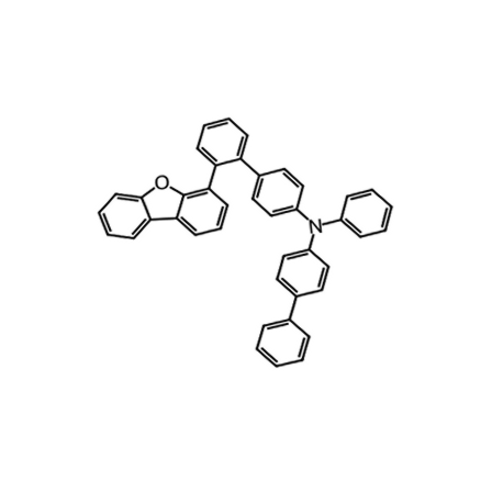 c1ccc(-c2ccc(N(c3ccccc3)c3ccc(-c4ccccc4-c4cccc5c4oc4ccccc45)cc3)cc2)cc1